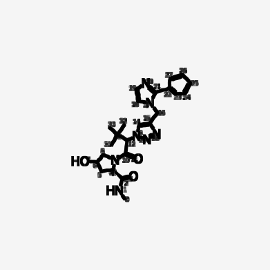 CNC(=O)[C@H]1CC(O)CN1C(=O)C(n1cc(Cn2ccnc2-c2ccccc2)nn1)C(C)(C)C